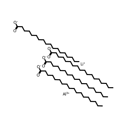 CCCCCCCCCCCCCCCCCC(=O)[O-].CCCCCCCCCCCCCCCCCC(=O)[O-].CCCCCCCCCCCCCCCCCC(=O)[O-].CCCCCCCCCCCCCCCCCC(=O)[O-].[Al+3].[Li+]